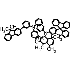 CC1C=CC2(C)C3=C1C(C)c1oc4ccc(N(c5ccccc5)c5cccc(-c6ccc7c(c6)C(C)(C)c6ccccc6-7)c5)cc4c1C3(C)N(c1ccccc1)c1ccc3c(c12)Oc1ccccc1C31c2ccccc2-c2ccccc21